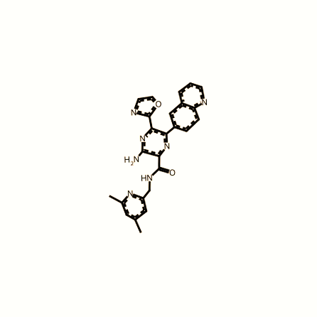 Cc1cc(C)nc(CNC(=O)c2nc(-c3ccc4ncccc4c3)c(-c3ncco3)nc2N)c1